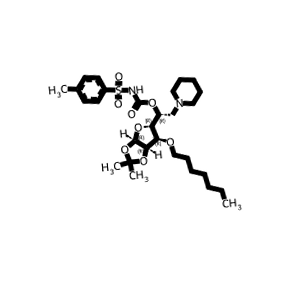 CCCCCCCO[C@H]1[C@H]2OC(C)(C)O[C@H]2O[C@@H]1[C@@H](CN1CCCCC1)OC(=O)NS(=O)(=O)c1ccc(C)cc1